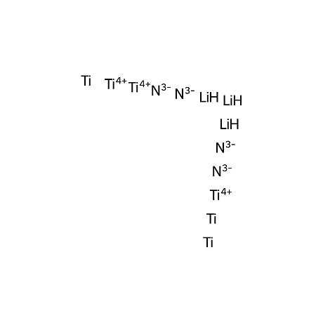 [LiH].[LiH].[LiH].[N-3].[N-3].[N-3].[N-3].[Ti+4].[Ti+4].[Ti+4].[Ti].[Ti].[Ti]